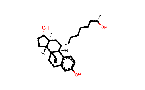 C=CC12CCc3cc(O)ccc3[C@H]1[C@@H](CCCCCC[C@H](C)O)C[C@]1(C)[C@@H](O)CC[C@@H]21